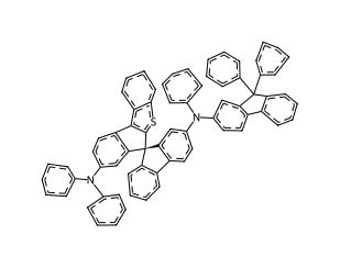 c1ccc(N(c2ccc3c(c2)C(c2ccccc2)(c2ccccc2)c2ccccc2-3)c2ccc3c(c2)[C@@]2(c4ccccc4-3)c3cc(N(c4ccccc4)c4ccccc4)ccc3-c3c2sc2ccccc32)cc1